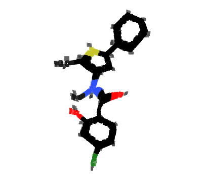 CC(C)N(C(=O)c1ccc(Cl)cc1O)c1cc(-c2ccccc2)sc1C(=O)O